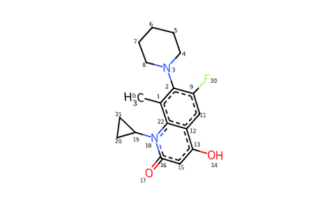 Cc1c(N2CCCCC2)c(F)cc2c(O)cc(=O)n(C3CC3)c12